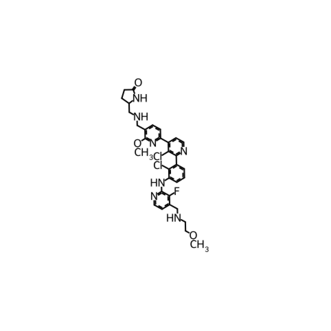 COCCNCc1ccnc(Nc2cccc(-c3nccc(-c4ccc(CNCC5CCC(=O)N5)c(OC)n4)c3Cl)c2Cl)c1F